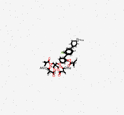 C=C(C)C(=O)OCC(COC(=O)C(C)C(=O)OC)(COC(=O)C(C)C(=O)OC)COc1ccc(-c2ccc(C3CCC(CCCCCC)CC3)cc2F)c(OC(=O)C(=C)C)c1